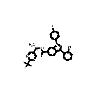 C[C@H](NC(=O)c1ccc2c(-c3ccccc3Cl)nn(-c3ccc(F)cc3)c2c1)c1cnc(C(F)(F)F)nc1